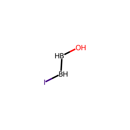 OBBI